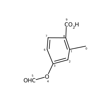 Cc1cc(OC=O)ccc1C(=O)O